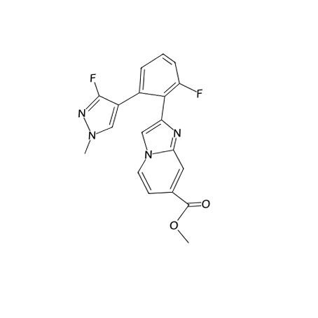 COC(=O)c1ccn2cc(-c3c(F)cccc3-c3cn(C)nc3F)nc2c1